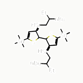 CCCCC(CC)C[SiH]=C1C=[C]([Sn]([CH3])([CH3])[CH3])SC1C1S[C]([Sn]([CH3])([CH3])[CH3])=CC1=[SiH]CC(CC)CCCC